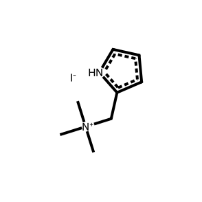 C[N+](C)(C)Cc1ccc[nH]1.[I-]